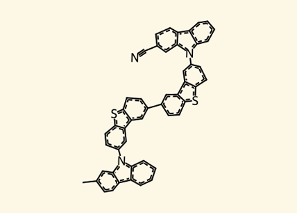 Cc1ccc2c3ccccc3n(-c3ccc4sc5ccc(-c6ccc7sc8ccc(-n9c%10ccccc%10c%10ccc(C#N)cc%109)cc8c7c6)cc5c4c3)c2c1